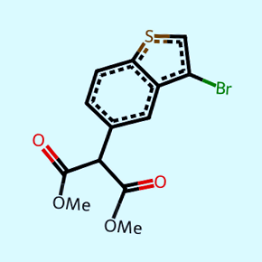 COC(=O)C(C(=O)OC)c1ccc2scc(Br)c2c1